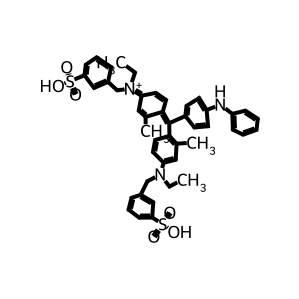 CCN(Cc1cccc(S(=O)(=O)O)c1)c1ccc(/C(=C2/C=CC(=[N+](CC)Cc3cccc(S(=O)(=O)O)c3)C=C2C)c2ccc(Nc3ccccc3)cc2)c(C)c1